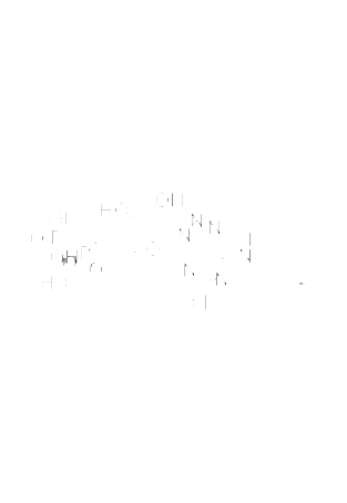 COP(=O)(CP(=O)(O)O)OC[C@H]1OC(n2nnc3c(NC4CCc5ccccc54)nc(Cl)nc32)C(O)[C@@H]1O